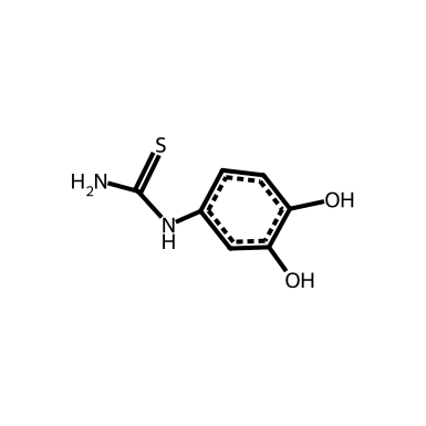 NC(=S)Nc1ccc(O)c(O)c1